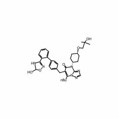 CCCCc1c(Cc2ccc(-c3ccccc3C3=NOC(O)N3)cc2)c(=O)n([C@H]2CC[C@H](OCC(C)(C)O)CC2)c2ncnn12